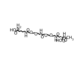 CC(=O)N[C@@H](CCC(=O)NCCOCCOCC(=O)NCCOCCOCC(=O)NCCCC[C@H](N)C(=O)O)C(=O)O